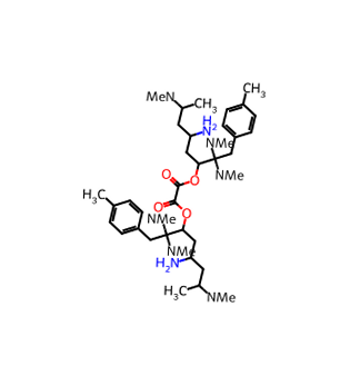 CNC(C)CC(N)CC(OC(=O)C(=O)OC(CC(N)CC(C)NC)C(Cc1ccc(C)cc1)(NC)NC)C(Cc1ccc(C)cc1)(NC)NC